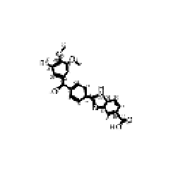 COc1cc(C(=O)c2ccc(-c3nc4cc(C(=O)O)ccc4[nH]3)cc2)cc(Br)c1OC